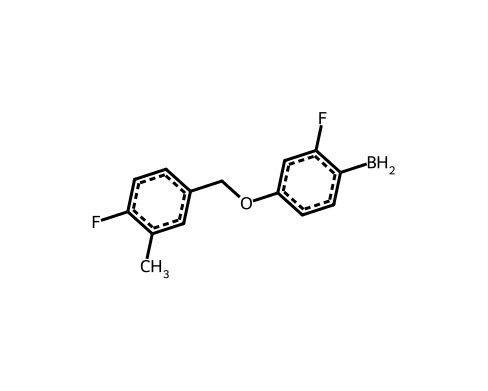 Bc1ccc(OCc2ccc(F)c(C)c2)cc1F